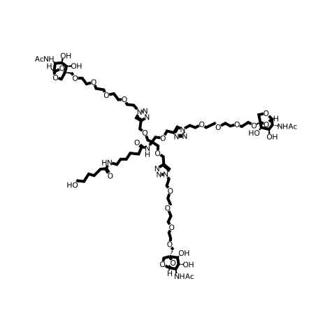 CC(=O)N[C@H]1[C@@H]2OC[C@](COCCOCCOCCOCCn3cc(COCC(COCc4cn(CCOCCOCCOCCOC[C@@]56CO[C@@H](O5)[C@H](NC(C)=O)[C@@H](O)[C@H]6O)nn4)(COCc4cn(CCOCCOCCOCCO[C@@]56CO[C@@H](O5)[C@H](NC(C)=O)[C@@H](O)[C@H]6O)nn4)NC(=O)CCCCCNC(=O)CCCCCO)nn3)(O2)[C@H](O)[C@@H]1O